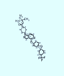 CC(C)(C)OC(=O)N1CCC(n2ncc3c(Oc4ccc(Oc5ccc(C(F)(F)F)cc5)cc4)ncnc32)CC1